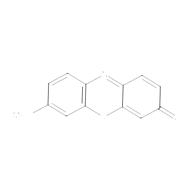 COc1ccc2nc3ccc(=O)cc-3sc2c1